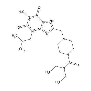 CCN(CC)C(=O)N1CCN(Cc2nc3c([nH]2)c(=O)n(C)c(=O)n3CC(C)C)CC1